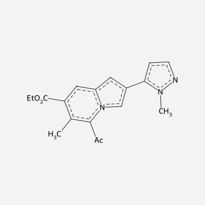 CCOC(=O)c1cc2cc(-c3ccnn3C)cn2c(C(C)=O)c1C